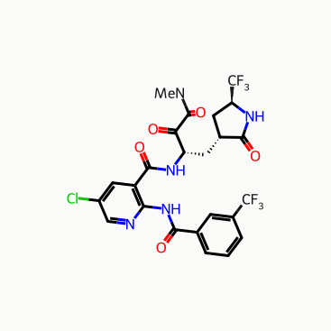 CNC(=O)C(=O)[C@H](C[C@@H]1C[C@@H](C(F)(F)F)NC1=O)NC(=O)c1cc(Cl)cnc1NC(=O)c1cccc(C(F)(F)F)c1